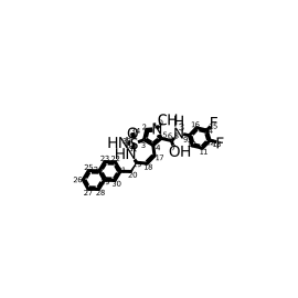 Cn1cc2c(c1C(O)Nc1ccc(F)c(F)c1)C=C[C@@H](Cc1ccc3ccccc3c1)NS2(=N)=O